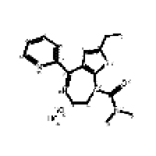 CCc1cc2c(s1)N(C(=O)N(C)C)CCN=C2c1ccccn1.Cl.Cl